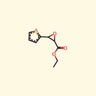 CCOC(=O)C1OC1c1cccs1